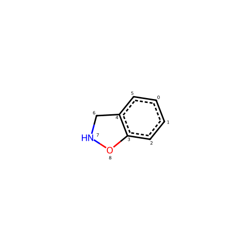 c1ccc2c(c1)CNO2